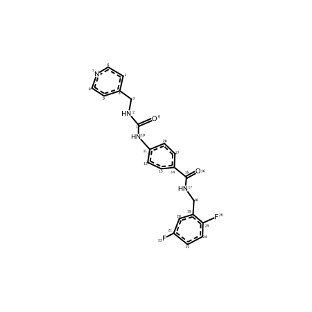 O=C(NCc1ccncc1)Nc1ccc(C(=O)NCc2cc(F)ccc2F)cc1